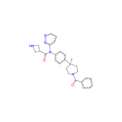 O=C(c1ccccc1)N1CCC(F)(c2ccc(N(C(=O)C3CNC3)c3cccnn3)cc2)CC1